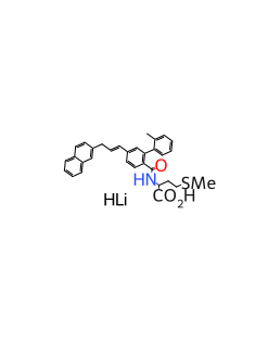 CSCCC(NC(=O)c1ccc(C=CCc2ccc3ccccc3c2)cc1-c1ccccc1C)C(=O)O.[LiH]